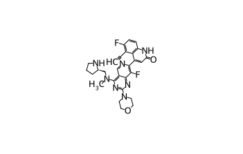 C#Cc1c(F)ccc2[nH]c(=O)cc(-c3ncc4c(N(C)C[C@H]5CCCN5)nc(N5CCOCC5)nc4c3F)c12